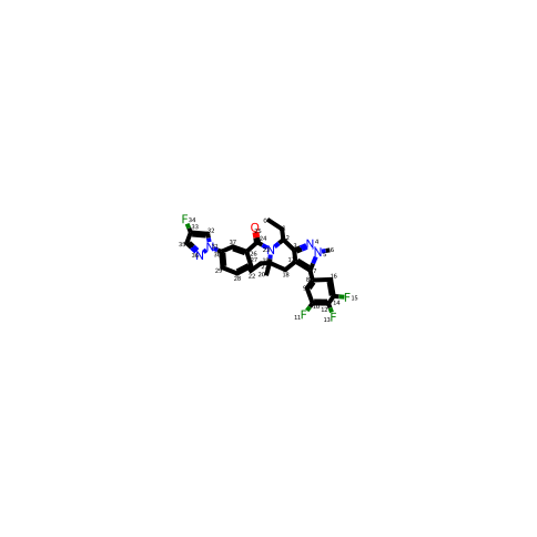 CCC1c2nn(C)c(-c3cc(F)c(F)c(F)c3)c2CC(C)(CC)N1C(=O)c1cccc(-n2cc(F)cn2)c1